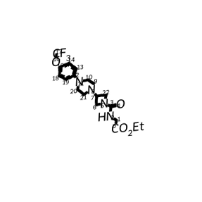 CCOC(=O)CNC(=O)N1CC(N2CCN(c3ccc(OC(F)(F)F)cc3)CC2)C1